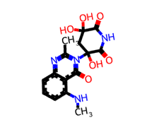 CNc1cccc2nc(C)n(C3(O)CC(O)(O)C(=O)NC3=O)c(=O)c12